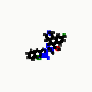 Cn1c(NC[C@@H](N)Cc2ccccc2Cl)nc(-c2ccncc2)c(-c2ccc(F)cc2)c1=O